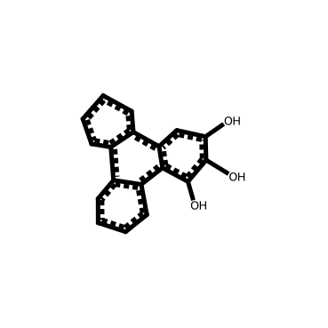 Oc1cc2c3ccccc3c3ccccc3c2c(O)c1O